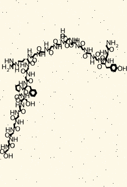 N=C(N)NCCC[C@H](NC(=O)CNC(=O)CNC(=O)CNC(=O)CNC(=O)[C@H](CO)NC(=O)CNC(=O)CNC(=O)CNC(=O)CNC(=O)[C@H](Cc1ccc(O)cc1)NC(=O)CNC(=O)CN)C(=O)NCC(=O)NCC(=O)N[C@@H](Cc1ccccc1)C(=O)N1CCC[C@H]1C(=O)N[C@@H](CO)C(=O)NCC(=O)NCC(=O)NCC(=O)NCC(=O)NCC(=O)NCC(=O)O